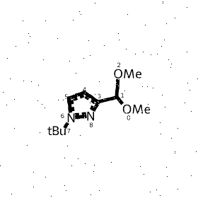 COC(OC)c1ccn(C(C)(C)C)n1